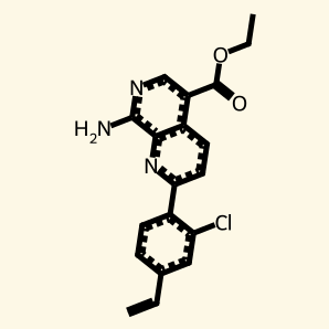 C=Cc1ccc(-c2ccc3c(C(=O)OCC)cnc(N)c3n2)c(Cl)c1